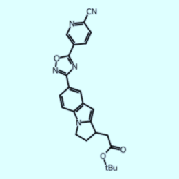 CC(C)(C)OC(=O)CC1CCn2c1cc1cc(-c3noc(-c4ccc(C#N)nc4)n3)ccc12